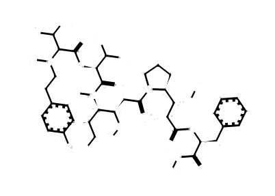 CC[C@H](C)[C@H]([C@@H](CC(=O)N1CCC[C@H]1[C@H](OC)[C@@H](C)C(=O)N[C@@H](Cc1ccccc1)C(=O)OC)OC)N(C)C(=O)[C@@H](NC(=O)C(C(C)C)N(C)CCc1ccc(N)cc1)C(C)C